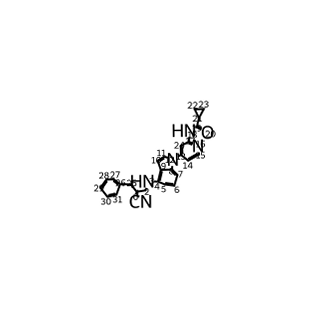 N#CC(CNc1cccc2c1ccn2-c1ccnc(NC(=O)C2CC2)c1)Cc1ccccc1